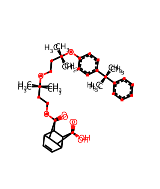 CC(C)(CCOC(=O)C1C2C=CC(C1C(=O)O)C(C(=O)O)C2C(=O)OCCC(C)(C)OCCC(C)(C)Oc1ccc(C(C)(C)c2ccccc2)cc1)OCCC(C)(C)Oc1ccc(C(C)(C)c2ccccc2)cc1